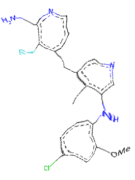 COc1cc(Cl)ccc1Nc1cncc(Cc2ccnc(N)c2F)c1C